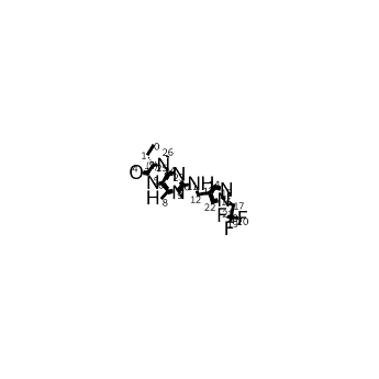 CC[C@H]1C(=O)Nc2c(C)nc(NCc3cnn(CC(F)(F)F)c3)nc2N1C